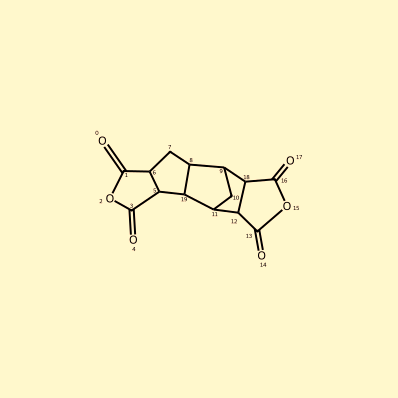 O=C1OC(=O)C2C1CC1C3CC(C4C(=O)OC(=O)C34)C12